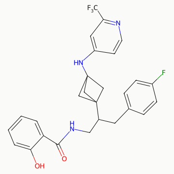 O=C(NCC(Cc1ccc(F)cc1)C12CC(Nc3ccnc(C(F)(F)F)c3)(C1)C2)c1ccccc1O